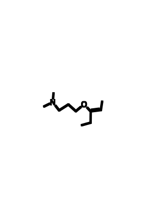 C/C=C(/CC)OCCCN(C)C